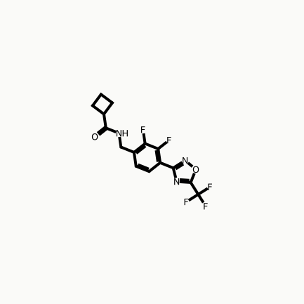 O=C(NCc1ccc(-c2noc(C(F)(F)F)n2)c(F)c1F)C1CCC1